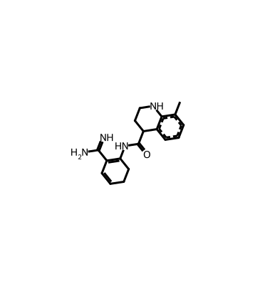 Cc1cccc2c1NCCC2C(=O)NC1=C(C(=N)N)C=CCC1